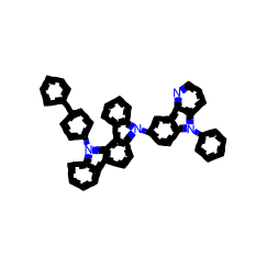 c1ccc(-c2ccc(-n3c4ccccc4c4ccc5c(c6ccccc6n5-c5ccc6c(c5)c5ncccc5n6-c5ccccc5)c43)cc2)cc1